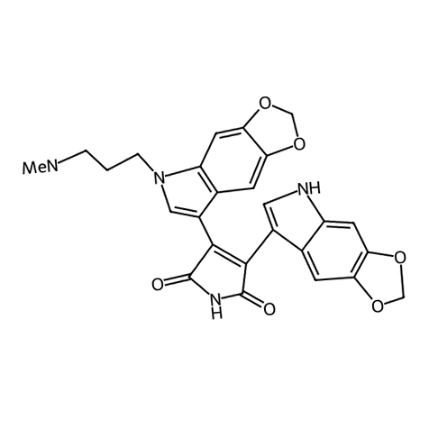 CNCCCn1cc(C2=C(c3c[nH]c4cc5c(cc34)OCO5)C(=O)NC2=O)c2cc3c(cc21)OCO3